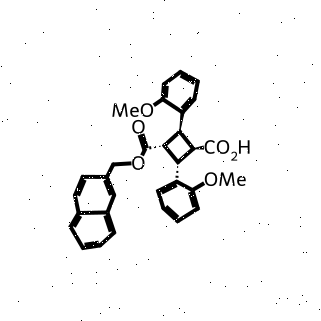 COc1ccccc1[C@H]1[C@H](C(=O)O)[C@H](c2ccccc2OC)[C@H]1C(=O)OCc1ccc2ccccc2c1